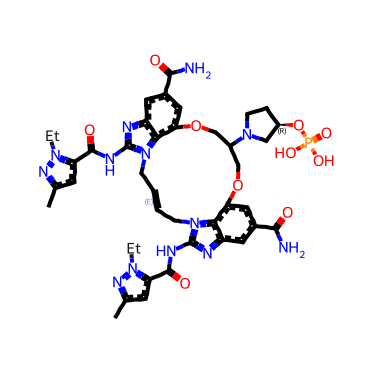 CCn1nc(C)cc1C(=O)Nc1nc2cc(C(N)=O)cc3c2n1C/C=C/Cn1c(NC(=O)c2cc(C)nn2CC)nc2cc(C(N)=O)cc(c21)OCC(N1CC[C@@H](OP(=O)(O)O)C1)CO3